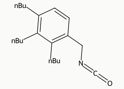 CCCCc1ccc(CN=C=O)c(CCCC)c1CCCC